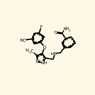 Cc1n[nH]c(CNCc2cccc(C(N)=O)c2)c1Oc1cc(F)cc(C#N)c1